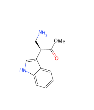 COC(=O)[C@H](CN)c1c[nH]c2ccccc12